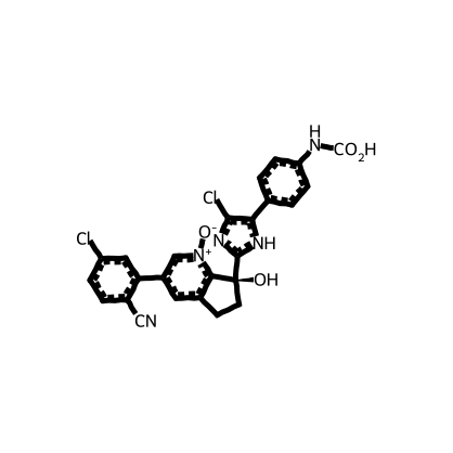 N#Cc1ccc(Cl)cc1-c1cc2c([n+]([O-])c1)[C@](O)(c1nc(Cl)c(-c3ccc(NC(=O)O)cc3)[nH]1)CC2